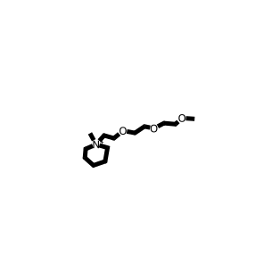 COCCOCCOCC[N+]1(C)CCCCC1